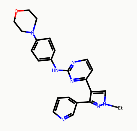 CCn1cc(-c2ccnc(Nc3ccc(N4CCOCC4)cc3)n2)c(-c2cccnc2)n1